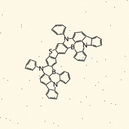 c1ccc(N2c3cc4sc5cc6c(cc5c4cc3B3c4ccccc4-n4c5ccccc5c5ccc2c3c54)B2c3ccccc3-n3c4ccccc4c4ccc(c2c43)N6c2ccccc2)cc1